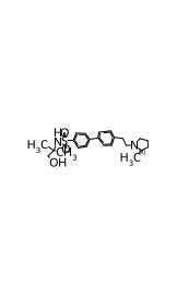 C[C@@H]1CCCN1CCc1ccc(-c2ccc(S(=O)(=O)NC(C)(C)CO)cc2)cc1